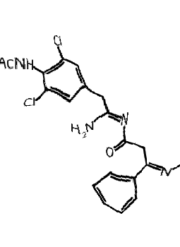 C/N=C(\CC(=O)/N=C(\N)Cc1cc(Cl)c(NC(C)=O)c(Cl)c1)c1ccccc1